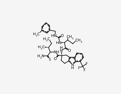 CCC(C)[C@H](NC(=O)NCc1cccc(C)c1)C(=O)N[C@]1(C(=O)NC(C(N)=S)[C@@H](C)CC)CCc2[nH]c3c(C(F)(F)F)cccc3c2C1